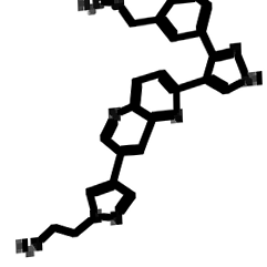 COCc1cccc(-c2n[nH]cc2-c2ccc3ncc(-c4cnn(CCN)c4)cc3n2)c1